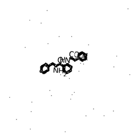 NC(Cc1ccccc1)C(=O)c1ccccc1NC(Cc1ccccc1)C(=O)O